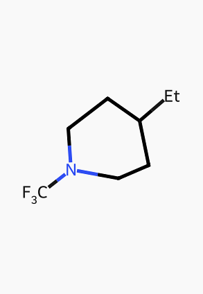 CCC1CCN(C(F)(F)F)CC1